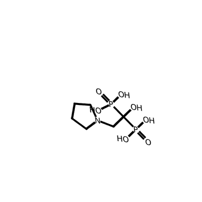 O=P(O)(O)C(O)(CN1CCCC1)P(=O)(O)O